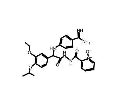 CCOc1cc(C(Nc2ccc(C(=N)N)cc2)C(=O)NNC(=O)c2cccc[n+]2[O-])ccc1OC(C)C